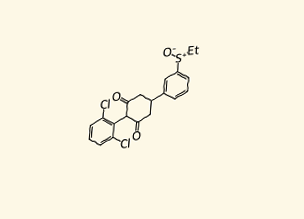 CC[S+]([O-])c1cccc(C2CC(=O)C(c3c(Cl)cccc3Cl)C(=O)C2)c1